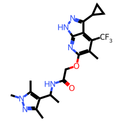 Cc1nn(C)c(C)c1C(C)NC(=O)COc1nc2[nH]nc(C3CC3)c2c(C(F)(F)F)c1C